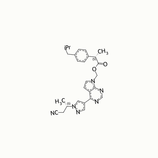 CC(C)Cc1ccc([C@H](C)C(=O)OCn2ccc3c(-c4cnn([C@@H](C)CC#N)c4)ncnc32)cc1